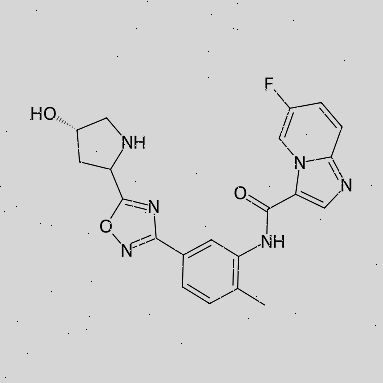 Cc1ccc(-c2noc(C3C[C@H](O)CN3)n2)cc1NC(=O)c1cnc2ccc(F)cn12